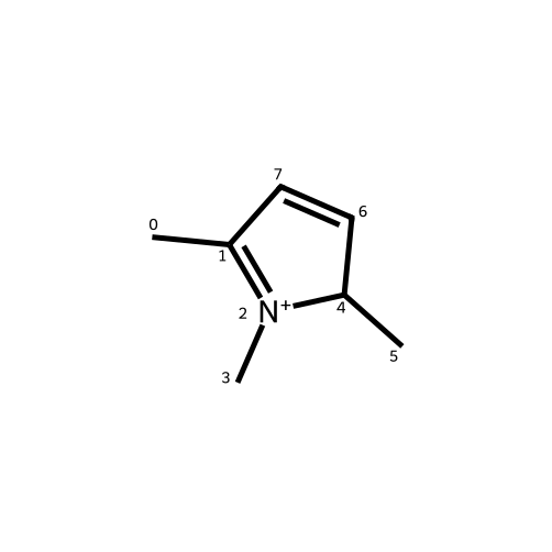 CC1=[N+](C)C(C)C=C1